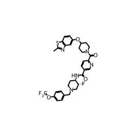 Cc1nc2cc(OC3CCN(C(=O)c4ccc(C(=O)N[C@@H]5CCN(Cc6ccc(OC(F)(F)F)cc6)C[C@H]5F)cn4)CC3)ccc2s1